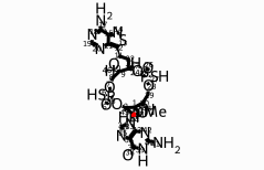 CO[C@H]1[C@H]2O[P@@](=O)(S)OC[C@H]3O[C@@H](c4snc5c(N)ncnc45)C[C@@H]3O[P@@](=O)(S)OC[C@H]1O[C@H]2n1cnc2c(=O)[nH]c(N)nc21